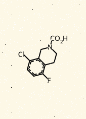 O=C(O)N1CCc2c(F)ccc(Cl)c2C1